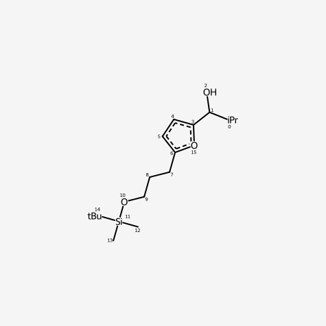 CC(C)C(O)c1ccc(CCCO[Si](C)(C)C(C)(C)C)o1